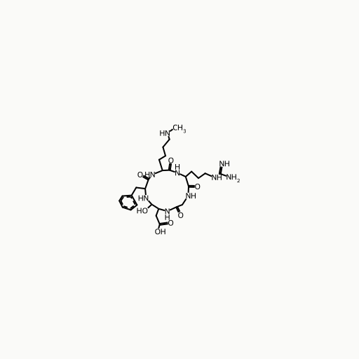 CNCCCCC1NC(=O)C(Cc2ccccc2)NC(O)C(CC(=O)O)NC(=O)CNC(=O)C(CCCNC(=N)N)NC1=O